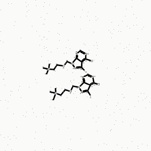 C[Si](C)(C)CCOCn1nc(I)c2c(Cl)ncnc21.C[Si](C)(C)CCOCn1nc(I)c2c(Cl)ncnc21